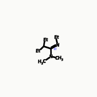 CC/N=C(\C(CC)CC)N(C)C